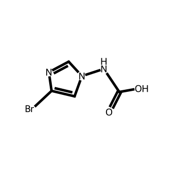 O=C(O)Nn1cnc(Br)c1